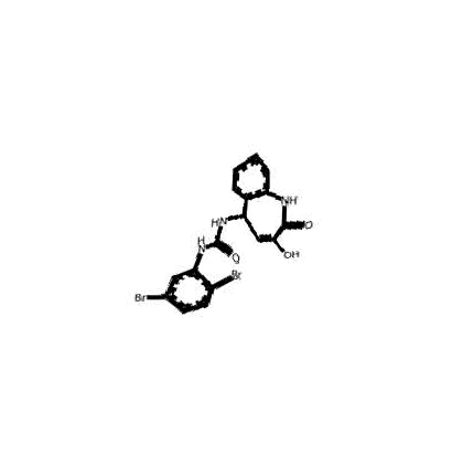 O=C(Nc1cc(Br)ccc1Br)NC1C=C(O)C(=O)Nc2ccccc21